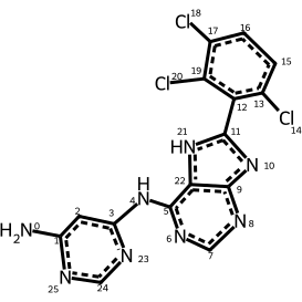 Nc1cc(Nc2ncnc3nc(-c4c(Cl)ccc(Cl)c4Cl)[nH]c23)ncn1